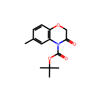 Cc1ccc2c(c1)N(C(=O)OC(C)(C)C)C(=O)CO2